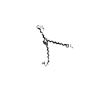 CCCCCCCCCCCCC1N(CCCCCCCCC)C=CN1CCCCCCCCCCCC